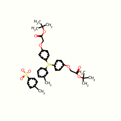 Cc1ccc(S(=O)(=O)[O-])cc1.Cc1cccc([S+](c2ccc(OCC(=O)OC(C)(C)C)cc2)c2ccc(OCC(=O)OC(C)(C)C)cc2)c1